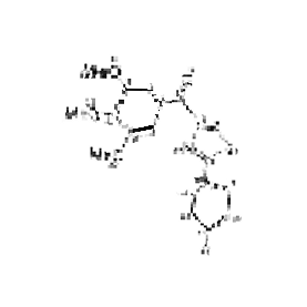 COc1cc(C(=O)c2csc(-c3ccc(C)cc3)n2)cc(OC)c1OC